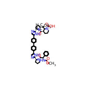 COC(=O)N[C@@H](C(=O)N1CCC[C@H]1c1ncc(-c2ccc(-c3ccc(-c4cnc([C@@H]5CCCN5C(=O)[C@@H]5CCCN(C(=O)O)C5C(C)(C)C)[nH]4)cc3)cc2)[nH]1)c1ccccc1